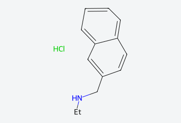 CCNCc1ccc2ccccc2c1.Cl